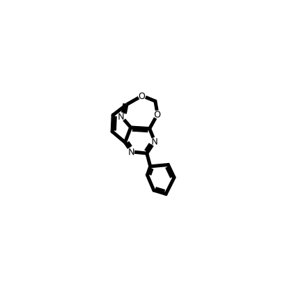 c1ccc(-c2nc3c4nc(ccc4n2)OCO3)cc1